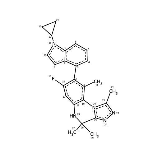 Cc1c(-c2cccc3c2ccn3C2CC2)c(F)cc2c1-n1c(C)nnc1C(C)(C)N2